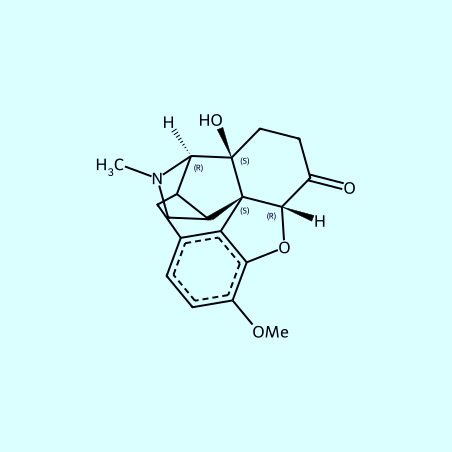 COc1ccc2c3c1O[C@H]1C(=O)CC[C@@]4(O)[C@H]5C(C2)C(CN5C)[C@]314